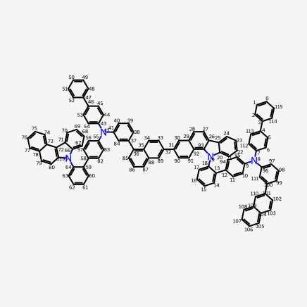 c1ccc(-c2ccc(N(c3ccc(-c4ccccc4-n4c5ccccc5c5ccc6cc(-c7ccc8c(-c9cccc(N(c%10ccc(-c%11ccccc%11)cc%10)c%10ccc(-c%11ccccc%11-n%11c%12ccccc%12c%12c%13ccccc%13ccc%12%11)cc%10)c9)cccc8c7)ccc6c54)cc3)c3cccc(-c4ccc5ccccc5c4)c3)cc2)cc1